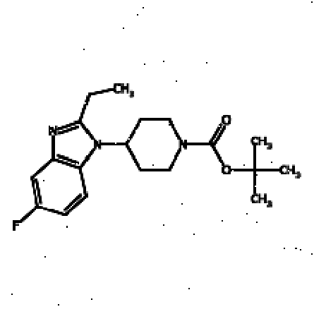 CCc1nc2cc(F)ccc2n1C1CCN(C(=O)OC(C)(C)C)CC1